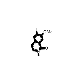 COc1cc2c(=O)n(C)ccc2cc1I